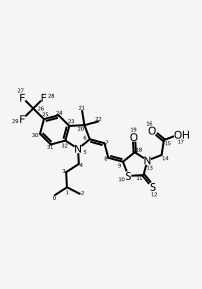 CC(C)CCN1/C(=C\C=C2\SC(=S)N(CC(=O)O)C2=O)C(C)(C)c2cc(C(F)(F)F)ccc21